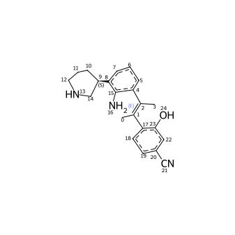 C/C(=C(/C)c1cccc([C@@H]2CCCNC2)c1N)c1ccc(C#N)cc1O